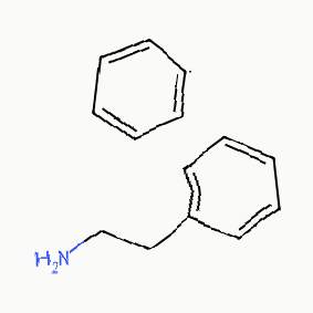 NCCc1ccccc1.[c]1ccccc1